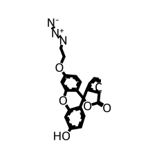 [N-]=[N+]=NCCOc1ccc2c(c1)Oc1cc(O)ccc1C21OC(=O)c2ccccc21